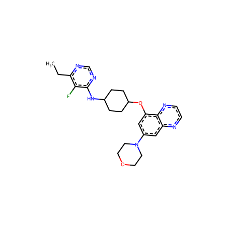 CCc1ncnc(NC2CCC(Oc3cc(N4CCOCC4)cc4nccnc34)CC2)c1F